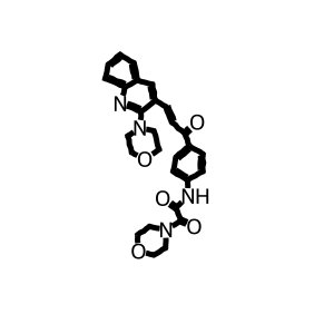 O=C(Nc1ccc(C(=O)/C=C/c2cc3ccccc3nc2N2CCOCC2)cc1)C(=O)N1CCOCC1